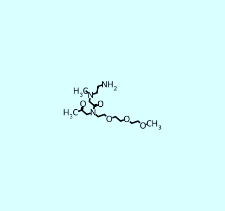 COCCOCCOCCN(CC(C)=O)C(=O)CN(C)CCN